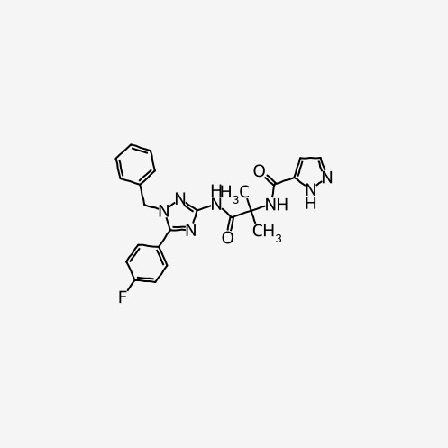 CC(C)(NC(=O)c1ccn[nH]1)C(=O)Nc1nc(-c2ccc(F)cc2)n(Cc2ccccc2)n1